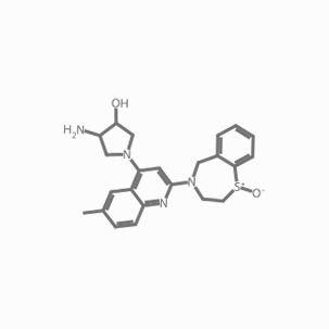 Cc1ccc2nc(N3CC[S+]([O-])c4ccccc4C3)cc(N3CC(N)C(O)C3)c2c1